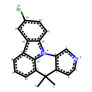 CC1(C)c2ccncc2-n2c3ccc(Br)cc3c3cccc1c32